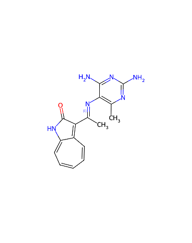 C/C(=N\c1c(C)nc(N)nc1N)c1c2cccccc-2[nH]c1=O